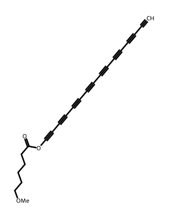 C#CC#CC#CC#CC#CC#CC#CC#COC(=O)CCCCCOC